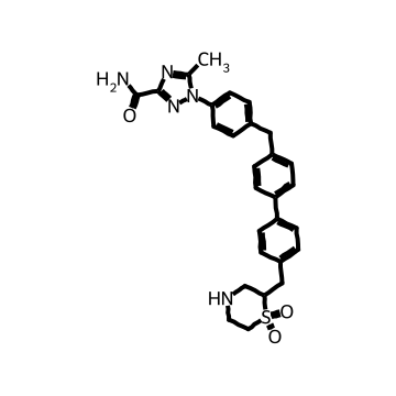 Cc1nc(C(N)=O)nn1-c1ccc(Cc2ccc(-c3ccc(CC4CNCCS4(=O)=O)cc3)cc2)cc1